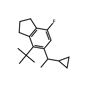 CC(c1cc(F)c2c(c1C(C)(C)C)CCC2)C1CC1